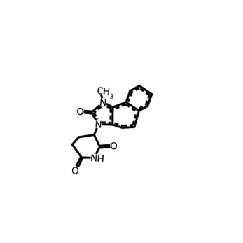 Cn1c(=O)n(C2CCC(=O)NC2=O)c2ccc3ccccc3c21